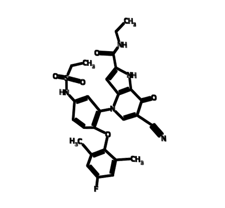 CCNC(=O)c1cc2c([nH]1)c(=O)c(C#N)cn2-c1cc(NS(=O)(=O)CC)ccc1Oc1c(C)cc(F)cc1C